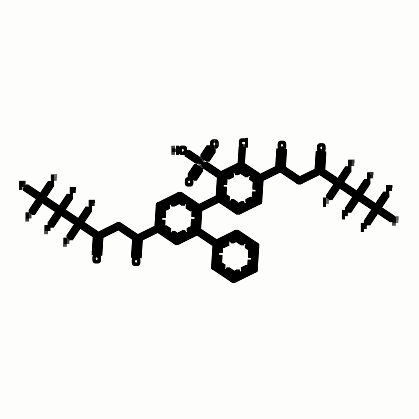 O=C(CC(=O)C(F)(F)C(F)(F)C(F)(F)F)c1ccc(-c2ccc(C(=O)CC(=O)C(F)(F)C(F)(F)C(F)(F)F)c(Cl)c2S(=O)(=O)O)c(-c2ccccc2)c1